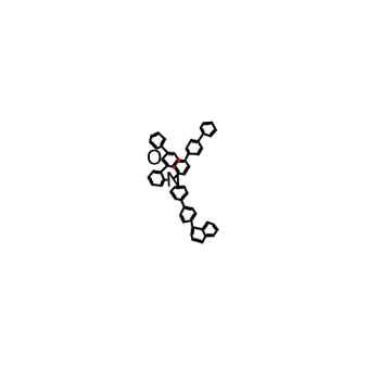 c1ccc(-c2ccc(-c3ccc(N(c4ccc(-c5ccc(-c6cccc7ccccc67)cc5)cc4)c4ccccc4-c4cccc5c4oc4ccccc45)cc3)cc2)cc1